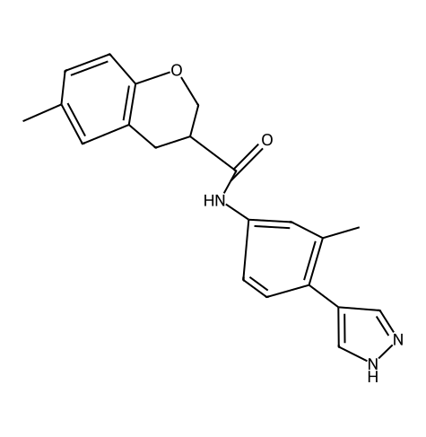 Cc1ccc2c(c1)CC(C(=O)Nc1ccc(-c3cn[nH]c3)c(C)c1)CO2